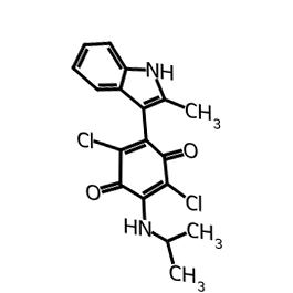 Cc1[nH]c2ccccc2c1C1=C(Cl)C(=O)C(NC(C)C)=C(Cl)C1=O